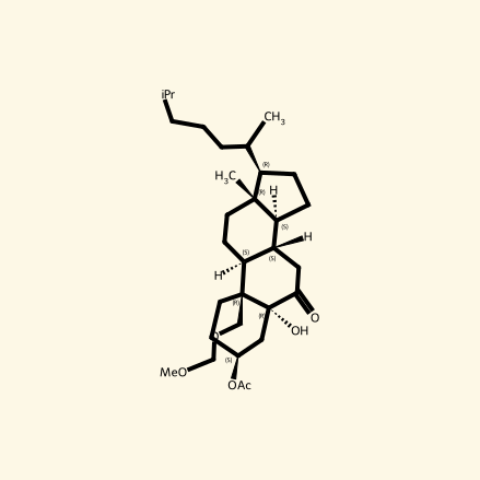 COCOC[C@]12CC[C@H](OC(C)=O)C[C@]1(O)C(=O)C[C@H]1[C@@H]3CC[C@H](C(C)CCCC(C)C)[C@@]3(C)CC[C@@H]12